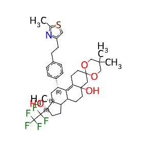 Cc1nc(CCc2ccc([C@H]3C[C@@]4(C)C(CC[C@@]4(O)C(F)(F)C(F)(F)F)C4CCC5(O)CC6(CCC5=C43)OCC(C)(C)CO6)cc2)cs1